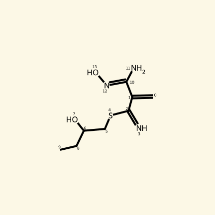 C=C(C(=N)SCC(O)CC)/C(N)=N/O